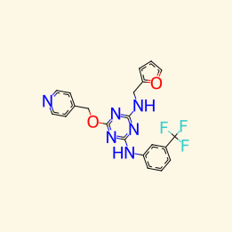 FC(F)(F)c1cccc(Nc2nc(NCc3ccco3)nc(OCc3ccncc3)n2)c1